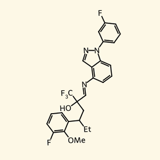 CCC(CC(O)(C=Nc1cccc2c1cnn2-c1cccc(F)c1)C(F)(F)F)c1cccc(F)c1OC